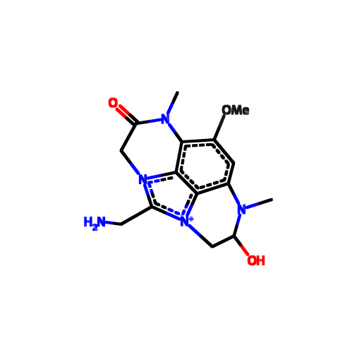 COc1cc2c3c4c1N(C)C(=O)Cn4c(CN)[n+]3CC(O)N2C